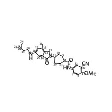 COc1ccc(NC(=O)C2CCC(N3Cc4c(C)cc(NCCN(C)C)cc4C3=O)CC2)cc1C#N